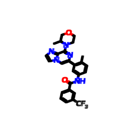 Cc1ccc(NC(=O)c2cccc(C(F)(F)F)c2)cc1-c1cn2ccnc2c(N2CCOCC2C)n1